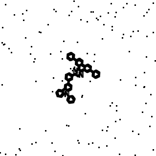 c1ccc(-c2ccc3c4ccc(-c5ccccc5)cc4c4nc(-c5cccc(-c6ccc7c(c6)c6ccccc6n7-c6ccccc6)c5)cnc4c3c2)cc1